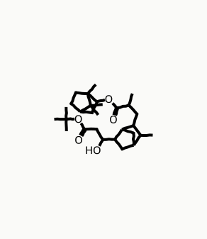 CC(CC1C(C)C2CC(C(O)CC(=O)OC(C)(C)C)C1C2)C(=O)OC1CC2CCC1(C)C2(C)C